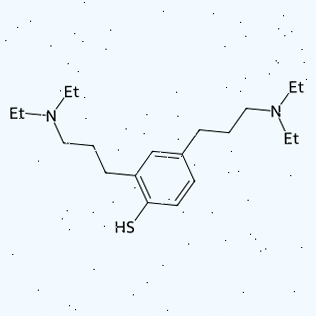 CCN(CC)CCCc1ccc(S)c(CCCN(CC)CC)c1